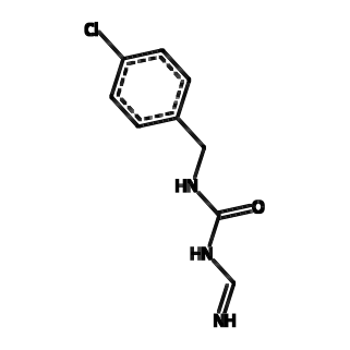 N=CNC(=O)NCc1ccc(Cl)cc1